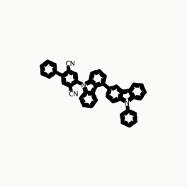 N#Cc1cc(-n2c3ccccc3c3c(-c4ccc5c(c4)c4ccccc4n5-c4ccccc4)cccc32)c(C#N)cc1-c1ccccc1